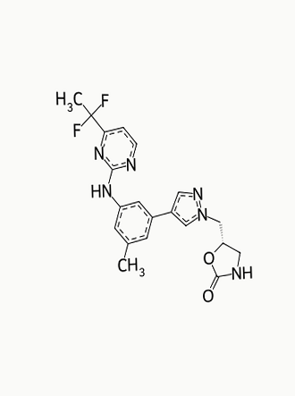 Cc1cc(Nc2nccc(C(C)(F)F)n2)cc(-c2cnn(C[C@@H]3CNC(=O)O3)c2)c1